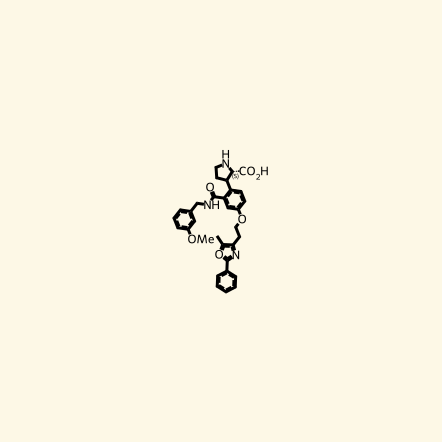 COc1cccc(CNC(=O)c2cc(OCCc3nc(-c4ccccc4)oc3C)ccc2C2CCN[C@@H]2C(=O)O)c1